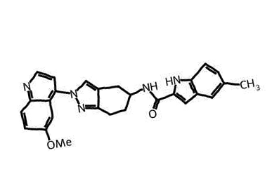 COc1ccc2nccc(-n3cc4c(n3)CCC(NC(=O)c3cc5cc(C)ccc5[nH]3)C4)c2c1